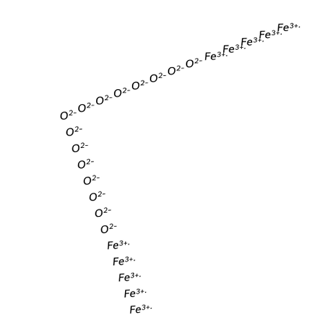 [Fe+3].[Fe+3].[Fe+3].[Fe+3].[Fe+3].[Fe+3].[Fe+3].[Fe+3].[Fe+3].[Fe+3].[O-2].[O-2].[O-2].[O-2].[O-2].[O-2].[O-2].[O-2].[O-2].[O-2].[O-2].[O-2].[O-2].[O-2].[O-2]